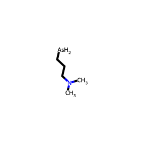 CN(C)CCC[AsH2]